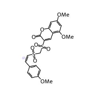 COc1ccc(/C=C\S(=O)(=O)CS(=O)(=O)c2cc3c(OC)cc(OC)cc3oc2=O)cc1